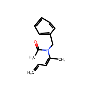 C=C/C=C(/C)N(Cc1ccccc1)C(C)=O